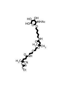 CCSC(=S)SC(C)(C#N)CCC(=O)NCCOCCOC(C)(C)CC(=O)NCCCCCO[C@@H]1O[C@H](O)[C@H](O)[C@H](O)[C@H]1NC(C)=O